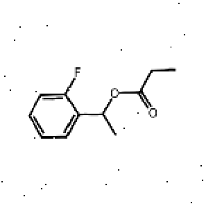 CCC(=O)OC(C)c1ccccc1F